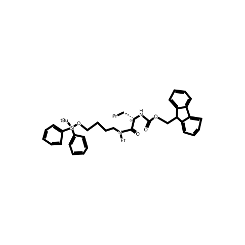 CCN(CCCCO[Si](c1ccccc1)(c1ccccc1)C(C)(C)C)C(=O)[C@H](CC(C)C)NC(=O)OCC1c2ccccc2-c2ccccc21